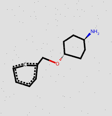 N[C@H]1CC[C@H](OCc2ccccc2)CC1